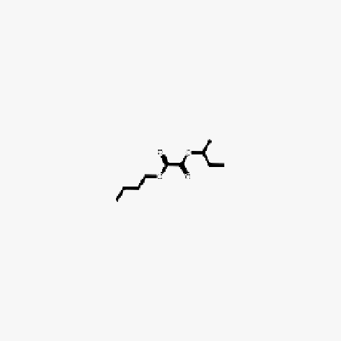 CCCCOC(=O)C(=O)OC(C)CC